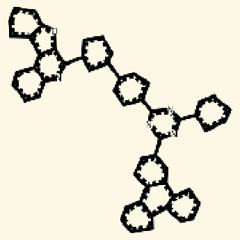 c1ccc(-c2nc(-c3ccc(-c4cccc(-c5nc6ccccc6c6c5oc5ccccc56)c4)cc3)nc(-c3ccc4c5ccccc5c5ccccc5c4c3)n2)cc1